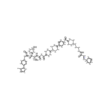 Cc1ncsc1-c1ccc(CNC(=O)[C@@H]2C[C@@H](O)CN2C(=O)[C@@H](NC(=O)CC(=O)N2CCN(C3CCN(c4ccc(C(=O)N5CCC(CCCCNC(=O)/C=C/c6cccnc6)CC5)cn4)CC3)CC2)C(C)(C)C)cc1